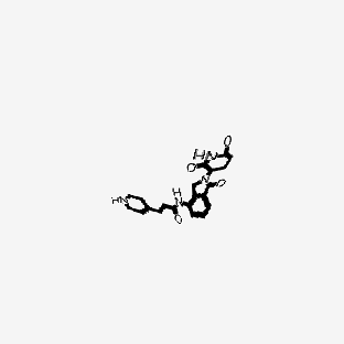 O=C1CCC(N2Cc3c(NC(=O)CCC4CCNCC4)cccc3C2=O)C(=O)N1